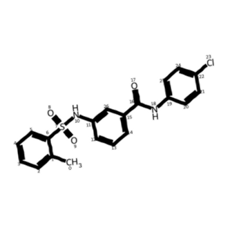 Cc1ccccc1S(=O)(=O)Nc1cccc(C(=O)Nc2ccc(Cl)cc2)c1